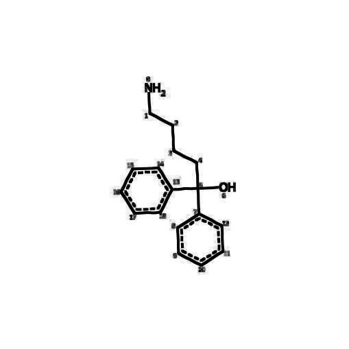 NCCCCC(O)(c1ccccc1)c1ccccc1